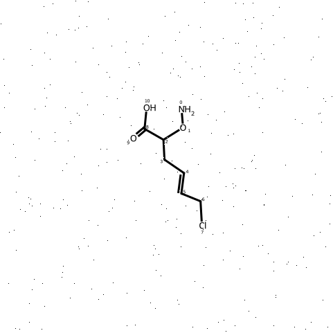 NOC(CC=CCCl)C(=O)O